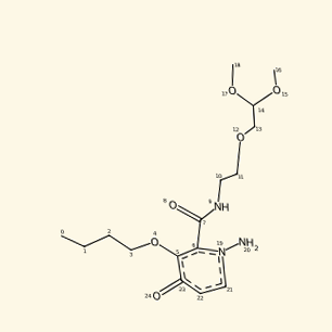 CCCCOc1c(C(=O)NCCOCC(OC)OC)n(N)ccc1=O